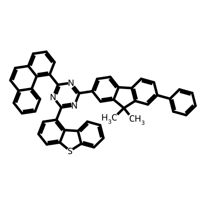 CC1(C)c2cc(-c3ccccc3)ccc2-c2ccc(-c3nc(-c4cccc5ccc6ccccc6c45)nc(-c4cccc5sc6ccccc6c45)n3)cc21